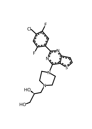 OC[C@@H](O)CN1CCN(c2nc(-c3cc(F)c(Cl)cc3F)nc3ccsc23)CC1